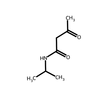 CC(=O)CC(=O)NC(C)C